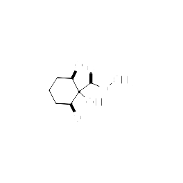 COC(=O)C1(O)C(=O)CCCC1=O